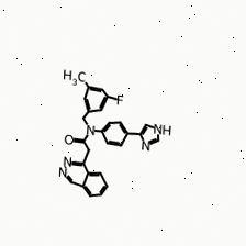 Cc1cc(F)cc(CN(C(=O)Cc2nncc3ccccc23)c2ccc(-c3c[nH]cn3)cc2)c1